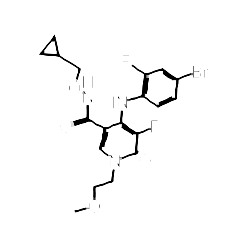 COCCn1cc(C(=O)NOCC2CC2)c(Nc2ccc(Br)cc2F)c(F)c1=O